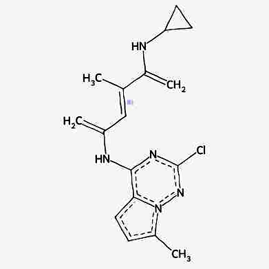 C=C(/C=C(\C)C(=C)NC1CC1)Nc1nc(Cl)nn2c(C)ccc12